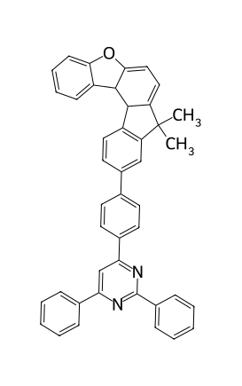 CC1(C)C2=CC=C3Oc4ccccc4C3C2c2ccc(-c3ccc(-c4cc(-c5ccccc5)nc(-c5ccccc5)n4)cc3)cc21